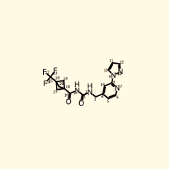 O=C(NCc1ccnc(-n2cccn2)c1)NC(=O)C12CC(C(F)(F)F)(C1)C2